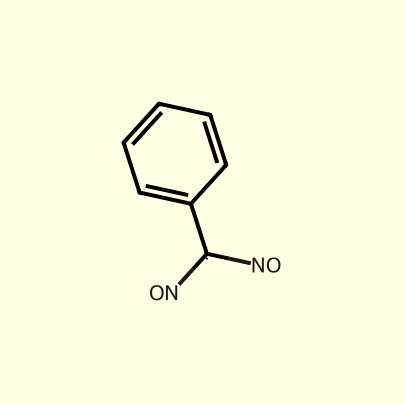 O=N[C](N=O)c1ccccc1